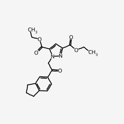 CCOC(=O)c1cc(C(=O)OCC)n(CC(=O)c2ccc3c(c2)CCC3)n1